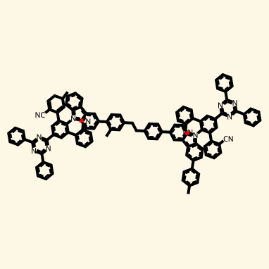 Cc1ccc(-c2ccc3c(c2)c2cc(-c4ccc(CCc5ccc(-c6ccc7c(c6)c6ccccc6n7-c6c(C7=CC(C)CC=C7C#N)cc(-c7nc(-c8ccccc8)nc(-c8ccccc8)n7)cc6-c6ccccc6C#N)c(C)c5)cc4)ccc2n3-c2c(-c3ccccc3C#N)cc(-c3nc(-c4ccccc4)nc(-c4ccccc4)n3)cc2-c2ccccc2C#N)cc1